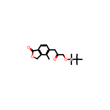 Cc1c(CC(=O)CO[Si](C)(C)C(C)(C)C)ccc2c1COC2=O